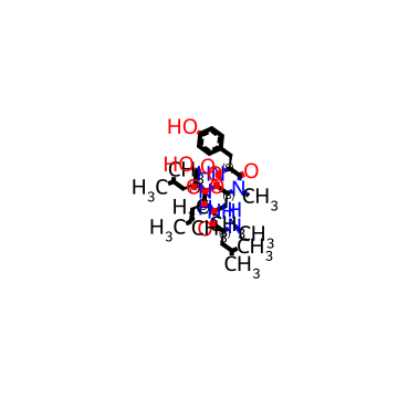 CN[C@@H](CC(C)C)C(=O)N[C@@H](CC(C)C)C(=O)ON[C@@H](Cc1ccc(O)cc1)C(=O)N(C)[C@@H](CC(C)C)C(=O)N[C@@H](CC(C)C)C(=O)O